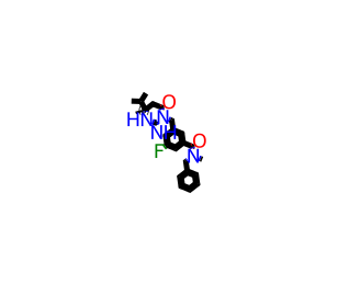 CC(C)[C@]1(C)CC(=O)N(Cc2cc(F)cc(C(=O)N(C)Cc3ccccc3)c2)C(=N)N1